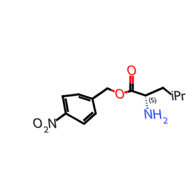 CC(C)C[C@H](N)C(=O)OCc1ccc([N+](=O)[O-])cc1